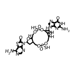 Nc1nc2c(ncn2[C@@H]2O[C@@H]3CO[P@@](=O)(S)OCC4C[C@H](n5c(=O)sc6c(N)ncnc65)O[C@@H]4CO[P@](=O)(S)O[C@H]2C3O)c(=O)[nH]1